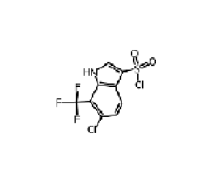 O=S(=O)(Cl)c1c[nH]c2c(C(F)(F)F)c(Cl)ccc12